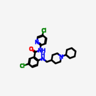 O=C(Nc1ccc(Cl)cn1)c1cc(Cl)ccc1NCC1CCN(C2CCCCC2)CC1